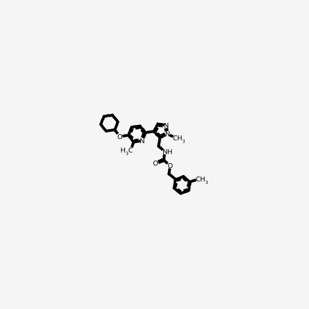 Cc1cccc(COC(=O)NCc2c(-c3ccc(OC4CCCCC4)c(C)n3)cnn2C)c1